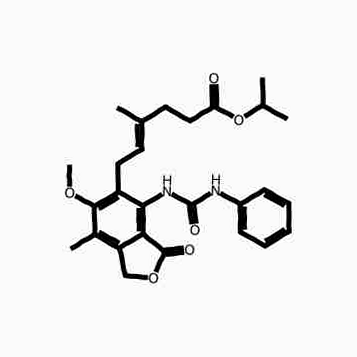 COc1c(C)c2c(c(NC(=O)Nc3ccccc3)c1C/C=C(\C)CCC(=O)OC(C)C)C(=O)OC2